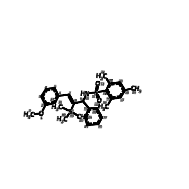 COc1cccc(/C=C(/C(NS(=O)(=O)c2c(C)cc(C)cc2C)c2ccccc2)[Si](C)(C)C)c1